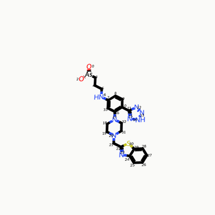 O=[As](=O)CCCNc1ccc(-c2nn[nH]n2)c(N2CCN(Cc3nc4ccccc4s3)CC2)c1